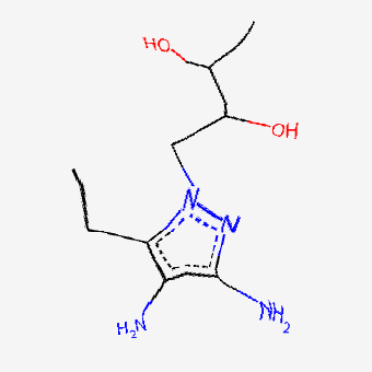 CCc1c(N)c(N)nn1CC(O)C(C)O